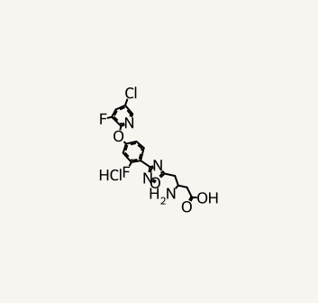 Cl.NC(CC(=O)O)Cc1nc(-c2ccc(Oc3ncc(Cl)cc3F)cc2F)no1